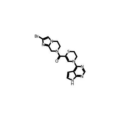 O=C(C1=CN(c2ncnc3[nH]ccc23)CCS1)N1CCn2cc(Br)nc2C1